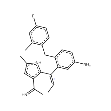 C/C=C(/c1cc(N)ccc1Cc1ccc(F)cc1C)c1[nH]c(C)cc1C(C)=N